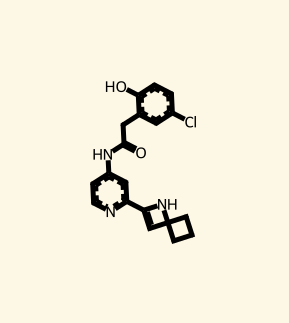 O=C(Cc1cc(Cl)ccc1O)Nc1ccnc(C2=CC3(CCC3)N2)c1